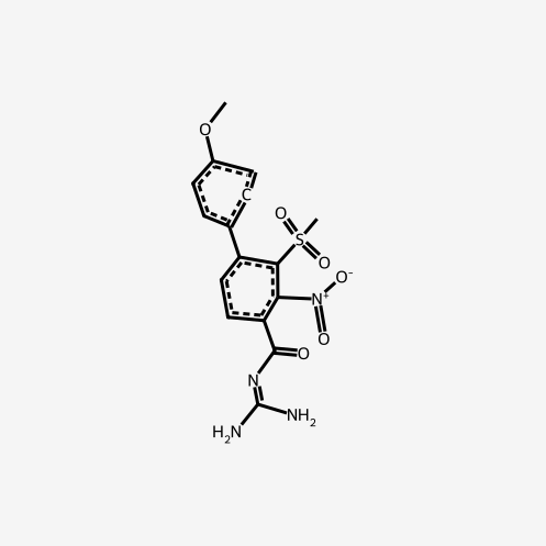 COc1ccc(-c2ccc(C(=O)N=C(N)N)c([N+](=O)[O-])c2S(C)(=O)=O)cc1